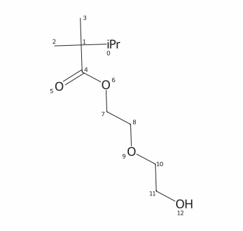 CC(C)C(C)(C)C(=O)OCCOCCO